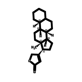 C[C@]12CC[C@H]3[C@@H](CCC4CCCC[C@@H]43)[C@@H]1CC[C@@H]2C1=CC(=O)OC1